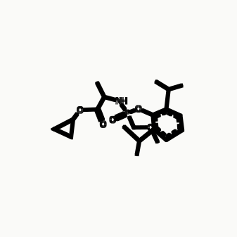 COCP(=O)(NC(C)C(=O)OC1CC1)Oc1c(C(C)C)cccc1C(C)C